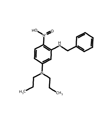 CCCN(CCC)c1ccc([N+](=O)O)c(NCc2ccccc2)c1